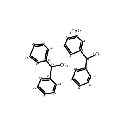 [Ca+2].[O-]C(c1ccccc1)c1ccccc1.[O-]C(c1ccccc1)c1ccccc1